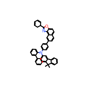 CC1(C)c2ccccc2-c2cc(N(c3ccc(-c4ccc5ccc6oc(C7C=CC=CC7)nc6c5c4)cc3)c3ccccc3-c3ccccc3)ccc21